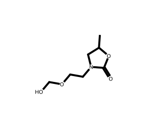 CC1CN(CCOCO)C(=O)O1